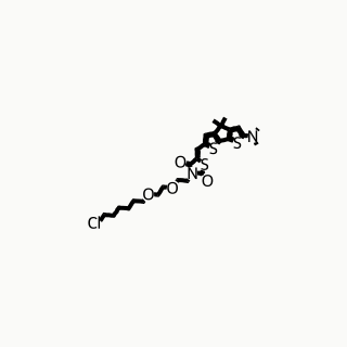 CN(C)c1cc2c(s1)-c1sc(/C=C3\SC(=O)N(CCOCCOCCCCCCCl)C3=O)cc1C2(C)C